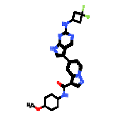 COC1CCC(NC(=O)c2cnn3ccc(-c4c[nH]c5nc(NC6CC(F)(F)C6)ncc45)cc23)CC1